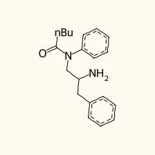 CCCCC(=O)N(CC(N)Cc1ccccc1)c1ccccc1